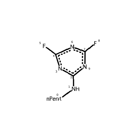 CCCCCNc1nc(F)nc(F)n1